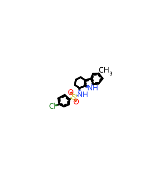 Cc1ccc2[nH]c3c(c2c1)CCCC3NS(=O)(=O)c1ccc(Cl)cc1